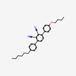 CCCCCCc1ccc(-c2ccc(-c3ccc(OCCCC)cc3)c(C#N)c2C#N)cc1